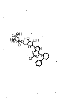 O=P(O)(O)CP(=O)(O)OCC1OC(n2cnc3c(N4CCCCC4c4ccccc4)nc(Cl)nc32)C(O)C1O